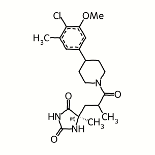 COc1cc(C2CCN(C(=O)C(C)C[C@@]3(C)NC(=O)NC3=O)CC2)cc(C)c1Cl